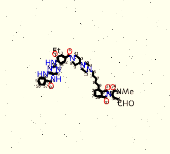 CCOc1cc(C(=O)N2CCC(N3CCN(CCCCCc4cccc5c4C(=O)N(C(CCC=O)C(=O)NC)C5=O)CC3)CC2)ccc1Nc1ncc2c(n1)Nc1ccccc1C(=O)N2